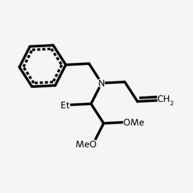 C=CCN(Cc1ccccc1)C(CC)C(OC)OC